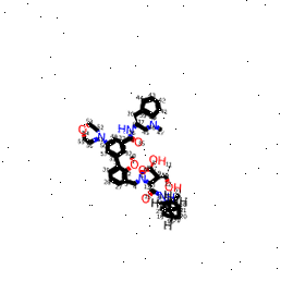 COc1c(CN2O[C@@H](O)[C@@H]([C@H](C)O)[C@H]2C(=O)N[C@H]2C[C@H]3C[C@@H]([C@@H]2C)C3(C)C)cccc1-c1cc(C(=O)N[C@@H](Cc2ccccc2)CN(C)C)cc(N2CCOCC2)c1